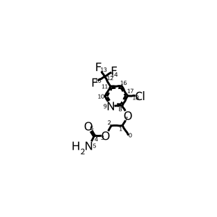 CC(COC(N)=O)Oc1ncc(C(F)(F)F)cc1Cl